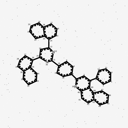 c1ccc(-c2cc(-c3ccc(-c4nc(-c5cccc6ccccc56)cc(-c5cccc6ccccc56)n4)cc3)nc3ccc4ccccc4c23)cc1